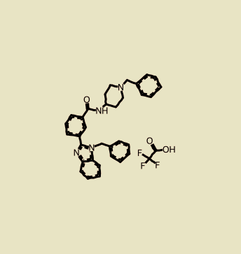 O=C(NC1CCN(Cc2ccccc2)CC1)c1cccc(-c2nc3ccccc3n2Cc2ccccc2)c1.O=C(O)C(F)(F)F